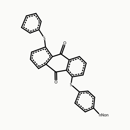 CCCCCCCCCc1ccc(Sc2cccc3c2C(=O)c2cccc(Sc4ccccc4)c2C3=O)cc1